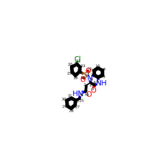 O=C(C[C@@H]1C(=O)Nc2ccccc2N1S(=O)(=O)c1cccc(Cl)c1)NCc1ccccc1